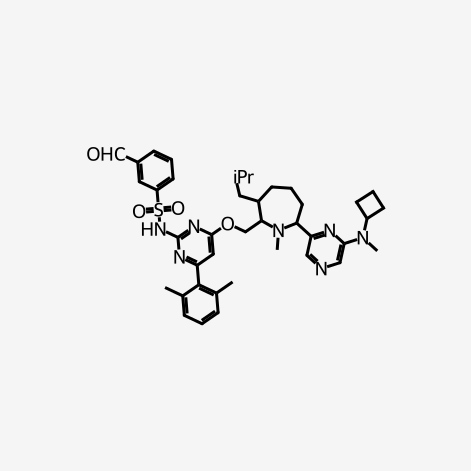 Cc1cccc(C)c1-c1cc(OCC2C(CC(C)C)CCCC(c3cncc(N(C)C4CCC4)n3)N2C)nc(NS(=O)(=O)c2cccc(C=O)c2)n1